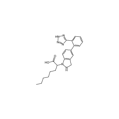 CCCCCCC(C(=O)O)N1NCc2cc(-c3ccccc3-c3nn[nH]n3)ccc21